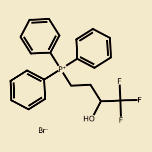 OC(CC[P+](c1ccccc1)(c1ccccc1)c1ccccc1)C(F)(F)F.[Br-]